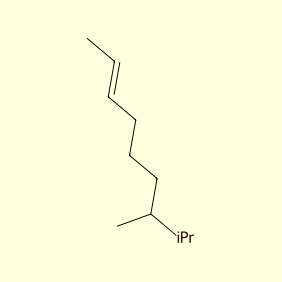 [CH2]C(C)C(C)CCC/C=C/C